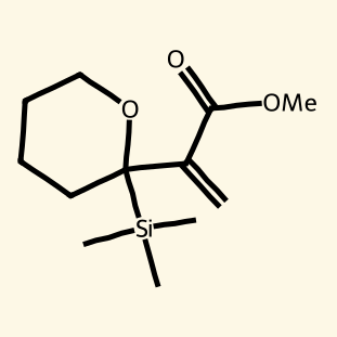 C=C(C(=O)OC)C1([Si](C)(C)C)CCCCO1